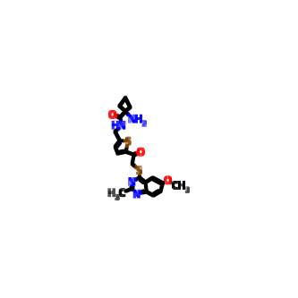 COc1ccc2nc(C)nc(SCC(=O)c3ccc(CNC(=O)C4(N)CCC4)s3)c2c1